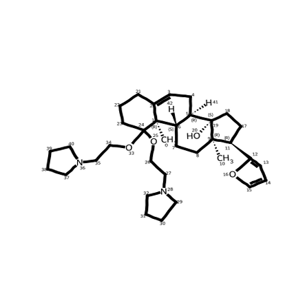 C[C@]12C(=CC[C@@H]3[C@@H]1CC[C@]1(C)[C@H](c4ccco4)CC[C@]31O)CCCC2(OCCN1CCCC1)OCCN1CCCC1